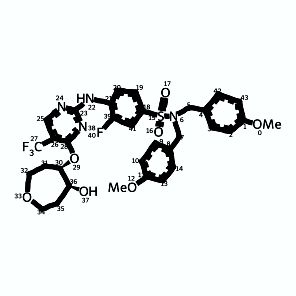 COc1ccc(CN(Cc2ccc(OC)cc2)S(=O)(=O)c2ccc(Nc3ncc(C(F)(F)F)c(O[C@@H]4CCOCC[C@@H]4O)n3)c(F)c2)cc1